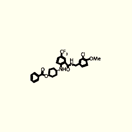 COc1ccc(CNC(=O)c2cc(C(F)(F)F)ccc2N[C@H]2CC[C@@H](OC(=O)c3ccccc3)CC2)cc1Cl